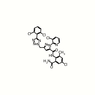 Cc1cc(Cl)cc(C(N)=O)c1NC(=O)c1cc(Cn2nnc(-c3c(Cl)cccc3Cl)n2)nn1-c1ncccc1Cl